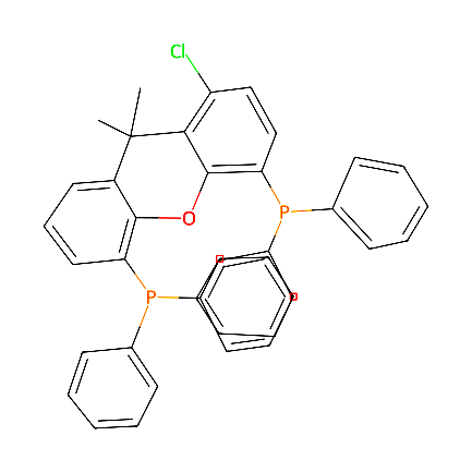 CC1(C)c2cccc(P(c3ccccc3)c3ccccc3)c2Oc2c(P(c3ccccc3)c3ccccc3)ccc(Cl)c21